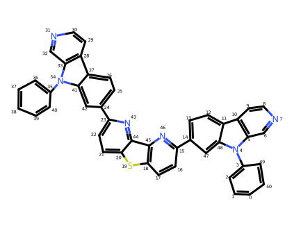 c1ccc(-n2c3cnccc3c3ccc(-c4ccc5sc6ccc(-c7ccc8c9ccncc9n(-c9ccccc9)c8c7)nc6c5n4)cc32)cc1